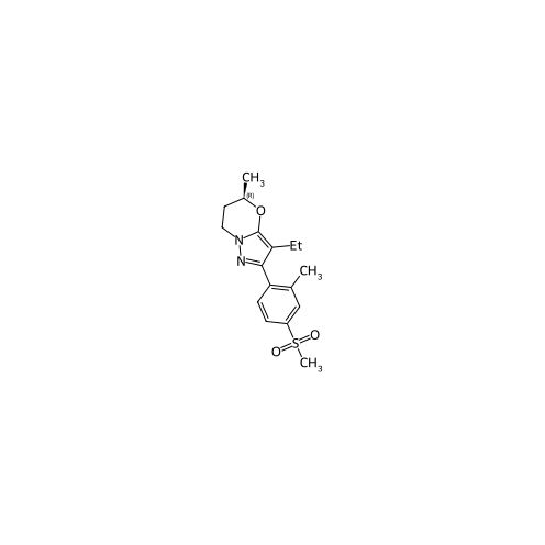 CCc1c(-c2ccc(S(C)(=O)=O)cc2C)nn2c1O[C@H](C)CC2